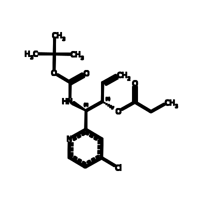 C=C[C@H](OC(=O)CC)[C@H](NC(=O)OC(C)(C)C)c1cc(Cl)ccn1